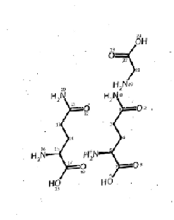 NC(=O)CC[C@H](N)C(=O)O.NC(=O)CC[C@H](N)C(=O)O.NCC(=O)O